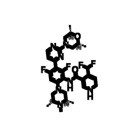 C[C@@H]1CN(c2nccc(-c3c(F)cc(N4C[C@@H](C)N(C)[C@@H](C)C4)c(NC(=O)C4=CNCC=C4C(F)F)c3F)n2)C[C@H](C)O1